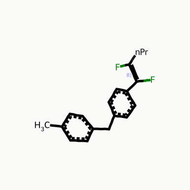 CCC/C(F)=C(\F)c1ccc(Cc2ccc(C)cc2)cc1